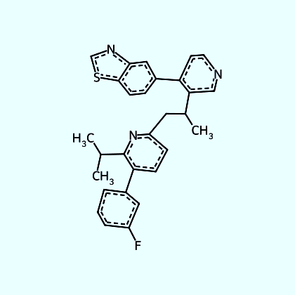 CC(C)c1nc(CC(C)c2cnccc2-c2ccc3scnc3c2)ccc1-c1cccc(F)c1